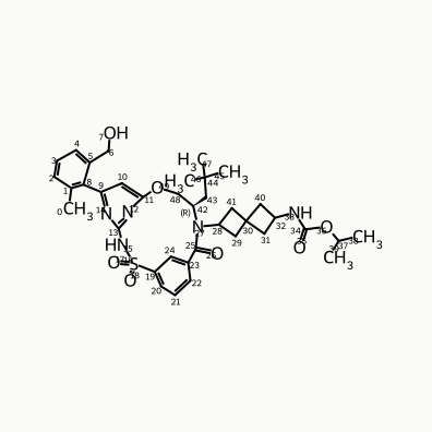 Cc1cccc(CO)c1-c1cc2nc(n1)NS(=O)(=O)c1cccc(c1)C(=O)N(C1CC3(CC(NC(=O)OC(C)C)C3)C1)[C@H](CC(C)(C)C)CO2